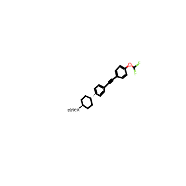 CCCCCC[C@H]1CC[C@H](c2ccc(C#Cc3ccc(OC(F)F)cc3)cc2)CC1